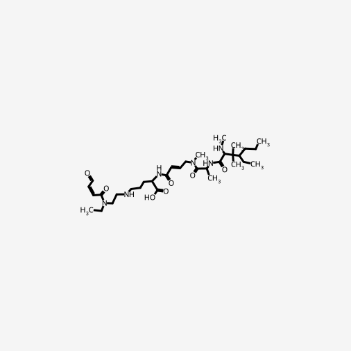 CCCC(CC)C(C)(C)C(NC)C(=O)NC(C)C(=O)N(C)C/C=C/C(=O)NC(CCCNCCN(CC)C(=O)/C=C\C=O)C(=O)O